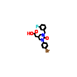 O=C(O)CC1CN(Cc2cccc(F)c2)C(=O)N(c2ccc(Br)cc2)C1